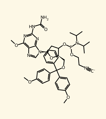 [C-]#[N+]CCOP(OC1C[C@H](n2cnc3c(OC)nc(NC(N)=O)nc32)O[C@@H]1COC(c1ccccc1)(c1ccc(OC)cc1)c1ccc(OC)cc1)N(C(C)C)C(C)C